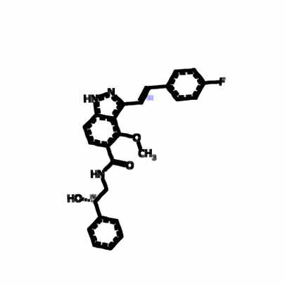 COc1c(C(=O)NC[C@@H](O)c2ccccc2)ccc2[nH]nc(/C=C/c3ccc(F)cc3)c12